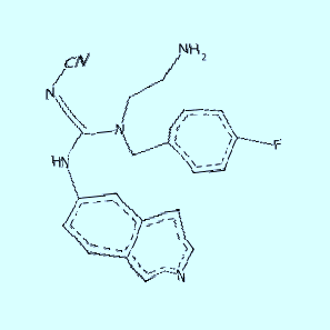 N#C/N=C(/Nc1ccc2cnccc2c1)N(CCN)Cc1ccc(F)cc1